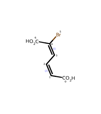 O=C(O)/C=C\C=C(\Br)C(=O)O